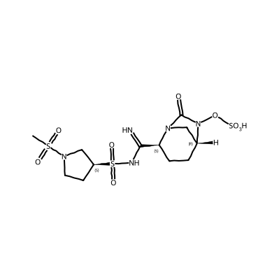 CS(=O)(=O)N1CC[C@H](S(=O)(=O)NC(=N)[C@@H]2CC[C@@H]3CN2C(=O)N3OS(=O)(=O)O)C1